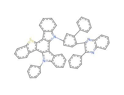 c1ccc(-c2cc(-n3c4ccccc4c4c5sc6ccccc6c5c5c(c6ccccc6n5-c5ccccc5)c43)ccc2-c2nc3ccccc3nc2-c2ccccc2)cc1